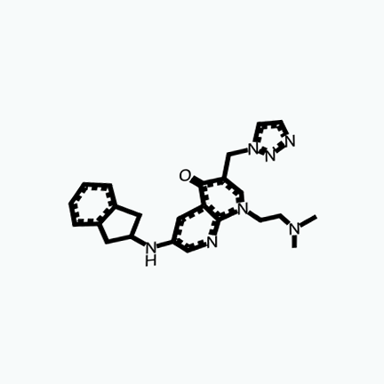 CN(C)CCn1cc(Cn2ccnn2)c(=O)c2cc(NC3Cc4ccccc4C3)cnc21